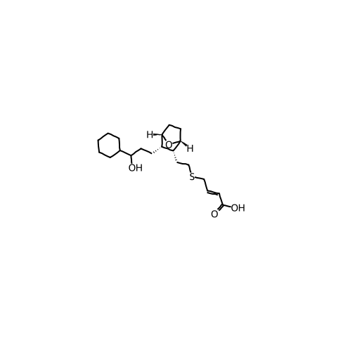 O=C(O)C=CCSCC[C@@H]1[C@H](CCC(O)C2CCCCC2)[C@@H]2CC[C@H]1O2